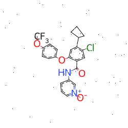 O=C(Nc1ccc[n+]([O-])c1)c1cc(Cl)c(C2CCC2)cc1Oc1ccc(OC(F)(F)F)cc1